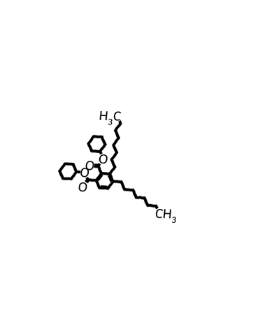 CCCCCCCCc1ccc(C(=O)OC2CCCCC2)c(C(=O)OC2CCCCC2)c1CCCCCCCC